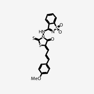 COc1ccc(/C=C/C=C2\SC(=S)N(NC3=NS(=O)(=O)c4ccccc43)C2=O)cc1